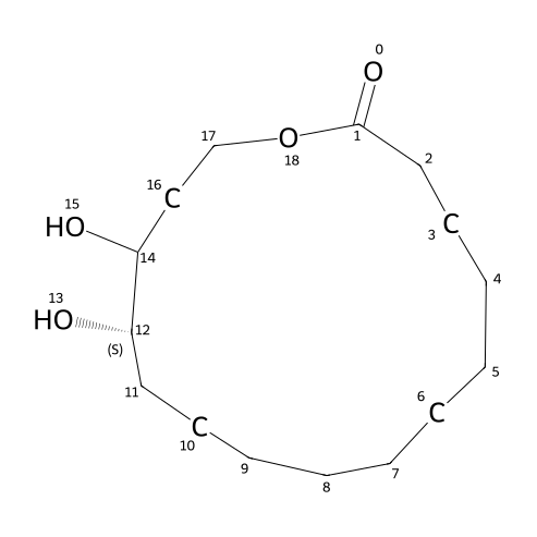 O=C1CCCCCCCCCC[C@H](O)C(O)CCO1